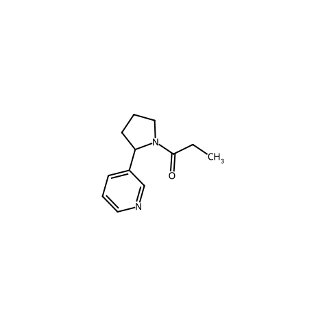 CCC(=O)N1CCCC1c1cccnc1